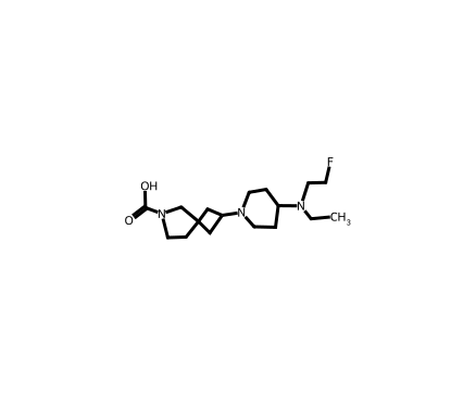 CCN(CCF)C1CCN(C2CC3(CCN(C(=O)O)C3)C2)CC1